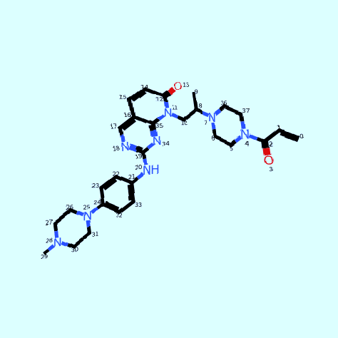 C=CC(=O)N1CCN(C(C)Cn2c(=O)ccc3cnc(Nc4ccc(N5CCN(C)CC5)cc4)nc32)CC1